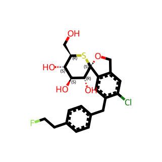 OC[C@H]1S[C@]2(OCc3cc(Cl)c(Cc4ccc(CCF)cc4)cc32)[C@H](O)[C@@H](O)[C@@H]1O